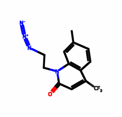 Cc1ccc2c(C(F)(F)F)cc(=O)n(CCN=[N+]=[N-])c2c1